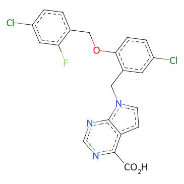 O=C(O)c1ncnc2c1ccn2Cc1cc(Cl)ccc1OCc1ccc(Cl)cc1F